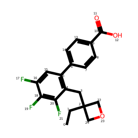 CCC1(Cc2c(-c3ccc(C(=O)O)cc3)cc(F)c(F)c2F)COC1